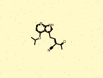 CC(=O)/C(C#N)=C/Cc1c[nH]c2nccc(OC(C)C)c12